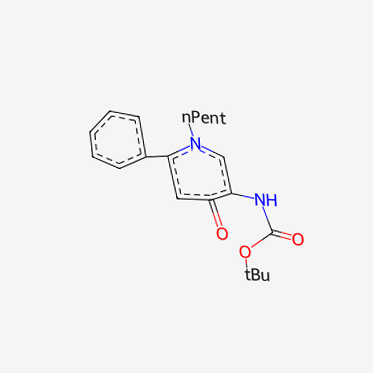 CCCCCn1cc(NC(=O)OC(C)(C)C)c(=O)cc1-c1ccccc1